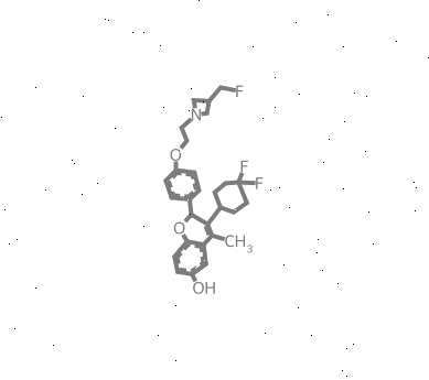 CC1=C(C2CCC(F)(F)CC2)C(c2ccc(OCCN3CC(CF)C3)cc2)Oc2ccc(O)cc21